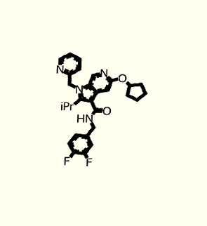 CC(C)c1c(C(=O)NCc2ccc(F)c(F)c2)c2cc(OC3CCCC3)ncc2n1Cc1ccccn1